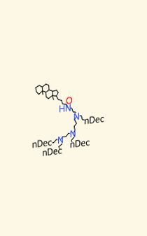 CCCCCCCCCCCCN(CCCCN(CCCCCCCCCCCC)CCCN(CCCCCCCCCCCC)CCCCCCCCCCCC)CCCNC(=O)CCCC1CCC2C3CCC4CCCCC4(C)C3CCC12C